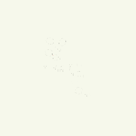 CON=C(C(=O)NC1C(=O)N2C1CSC(Sc1cccc([N+](=O)[O-])c1)C2(O)C(=O)OC(C)(C)C)c1csc(NC(c2ccccc2)(c2ccccc2)c2ccccc2)n1